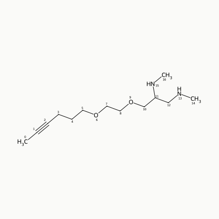 CC#CCCCOCCOCC(CNC)NC